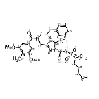 COc1cc(C(=O)N(CCCc2ccccc2)Cc2nc(C(=O)NS(=O)(=O)N(C)CCCO)c(C)s2)cc(OC)c1C